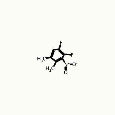 Cc1cc(F)c(F)c([N+](=O)[O-])c1C